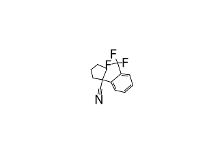 N#CC1(c2ccccc2C(F)(F)F)CCCC1